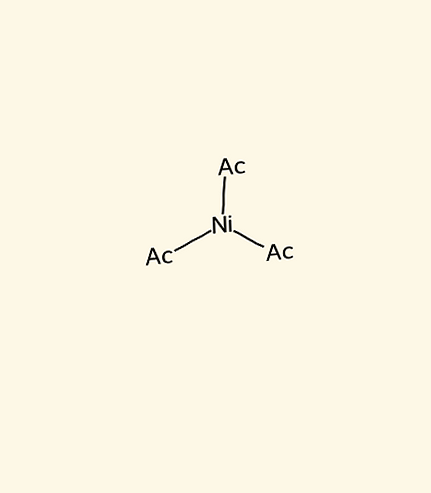 C[C](=O)[Ni]([C](C)=O)[C](C)=O